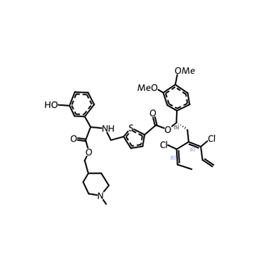 C=C/C(Cl)=C(C[C@H](OC(=O)c1ccc(CNC(C(=O)OCC2CCN(C)CC2)c2cccc(O)c2)s1)c1ccc(OC)c(OC)c1)\C(Cl)=C/C